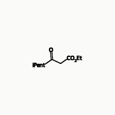 CCCC(C)C(=O)CC(=O)OCC